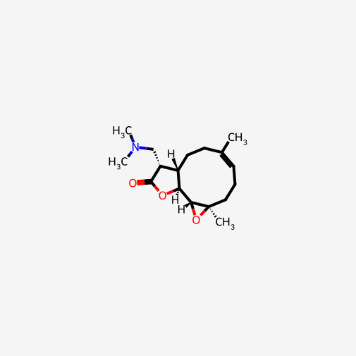 C/C1=C/CC[C@@]2(C)O[C@@H]2[C@H]2OC(=O)[C@H](CN(C)C)[C@@H]2CC1